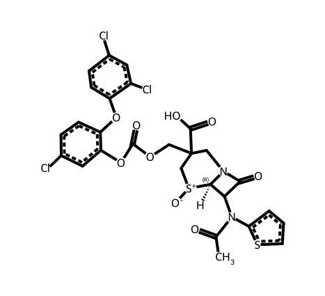 CC(=O)N(c1cccs1)C1C(=O)N2CC(COC(=O)Oc3cc(Cl)ccc3Oc3ccc(Cl)cc3Cl)(C(=O)O)C[S+]([O-])[C@H]12